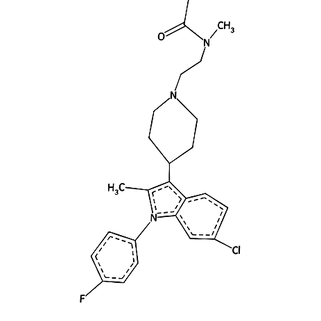 CNC(=O)N(C)CCN1CCC(c2c(C)n(-c3ccc(F)cc3)c3cc(Cl)ccc23)CC1